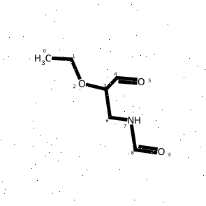 CCOC(C=O)CNC=O